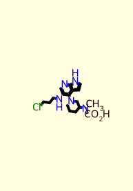 CN(C(=O)O)C1CCCN(c2c(NCCCCl)cnc3[nH]ccc23)C1